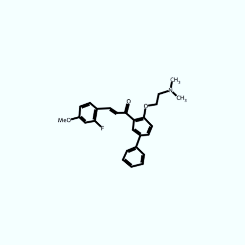 COc1ccc(C=CC(=O)c2cc(-c3ccccc3)ccc2OCCN(C)C)c(F)c1